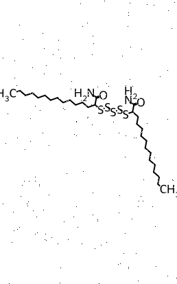 CCCCCCCCCCCCCC(SSSSSC(CCCCCCCCCCCCC)C(N)=O)C(N)=O